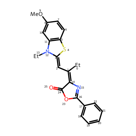 CCC(/C=C1\Sc2ccc(OC)cc2N1CC)=C1\N=C(c2ccccc2)OC1=O